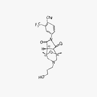 C[C@]12CN(CCCO)C[C@](C)(O1)C1C(=O)N(c3ccc(C#N)c(C(F)(F)F)c3)C(=O)[C@H]12